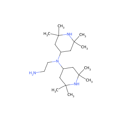 CC1(C)CC(N(CCN)C2CC(C)(C)NC(C)(C)C2)CC(C)(C)N1